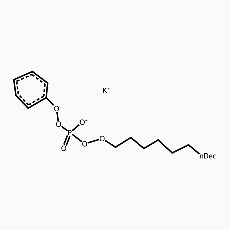 CCCCCCCCCCCCCCCCOOP(=O)([O-])OOc1ccccc1.[K+]